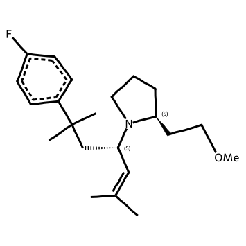 COCC[C@@H]1CCCN1[C@H](C=C(C)C)CC(C)(C)c1ccc(F)cc1